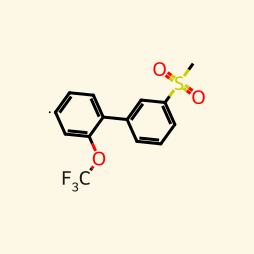 CS(=O)(=O)c1cccc(-c2cc[c]cc2OC(F)(F)F)c1